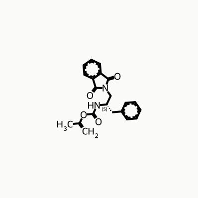 C=C(C)OC(=O)N[C@@H](Cc1ccccc1)CN1C(=O)c2ccccc2C1=O